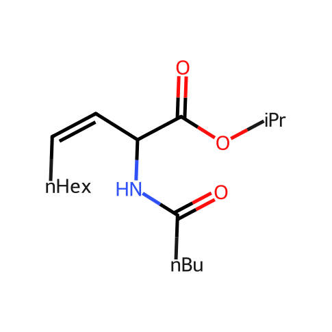 CCCCCC/C=C\C(NC(=O)CCCC)C(=O)OC(C)C